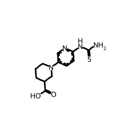 NC(=S)Nc1ccc(N2CCCC(C(=O)O)C2)cn1